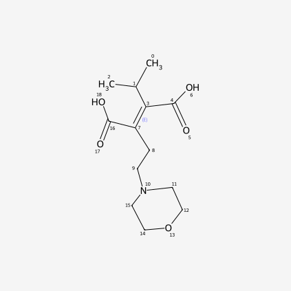 CC(C)/C(C(=O)O)=C(/CCN1CCOCC1)C(=O)O